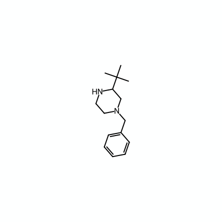 CC(C)(C)C1CN(Cc2ccccc2)CCN1